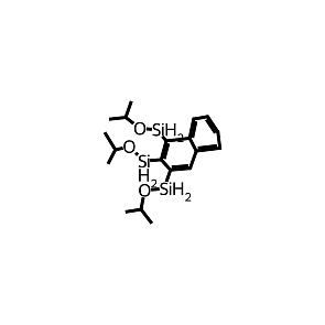 CC(C)O[SiH2]c1cc2ccccc2c([SiH2]OC(C)C)c1[SiH2]OC(C)C